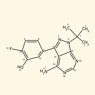 CC(C)(C)n1nc(-c2ccc(F)c(O)c2)c2c(N)ncnc21